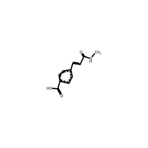 CNC(=O)C=Cc1ccc(C(=O)O)cc1